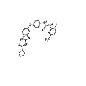 O=C(Nc1ccc(Oc2ccc3[nH]c(NC(=O)C4CCCC4)nc3c2)cc1)Nc1cc(C(F)(F)F)ccc1F